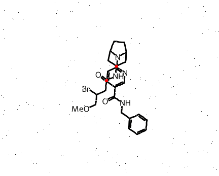 COCC(Br)CC(=O)NC1CC2CCC(C1)N2c1ccc(C(=O)NCc2ccccc2)cn1